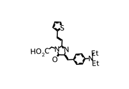 CCN(CC)c1ccc(/C=C2N=C(/C=C/c3cccs3)N(CC(=O)O)C\2=O)cc1